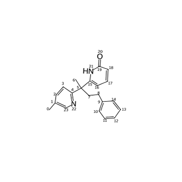 Cc1ccc(C(C)(CCc2ccccc2)c2cccc(=O)[nH]2)nc1